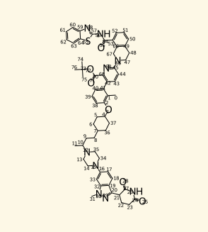 Cc1c(OC2CCC(CCC(C)N3CCN(c4ccc5c(C6CCC(=O)NC6=O)nn(C)c5c4)CC3)CC2)cccc1-c1ccc(N2CCc3cccc(C(=O)Nc4nc5ccccc5s4)c3C2)nc1C(=O)OC(C)(C)C